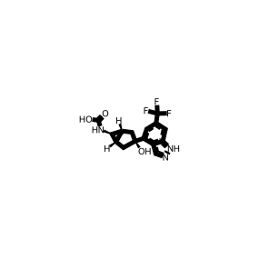 O=C(O)N[C@H]1[C@@H]2C[C@](O)(c3cc(C(F)(F)F)cc4[nH]ncc34)C[C@@H]21